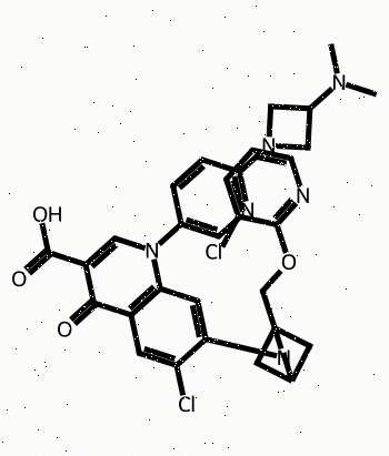 CN(C)C1CN(c2ccc(-n3cc(C(=O)O)c(=O)c4cc(Cl)c(N5CC6CC5(COc5ncccc5Cl)C6)cc43)cn2)C1